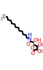 CCCCCCCCCCCCCNC(=O)C(O)[C@H]1OC(=O)[C@@H](O)[C@H]1O